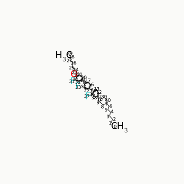 CCCCCCCC1CCC(c2ccc(-c3ccc(-c4ccc(OCCCCCC)c(F)c4F)cc3)c(F)c2)CC1